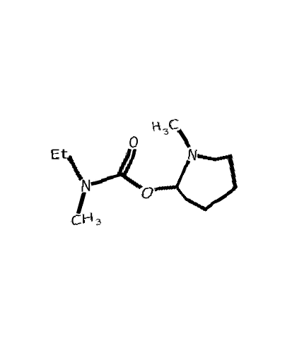 CCN(C)C(=O)OC1CCCN1C